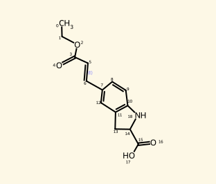 CCOC(=O)/C=C/c1ccc2c(c1)CC(C(=O)O)N2